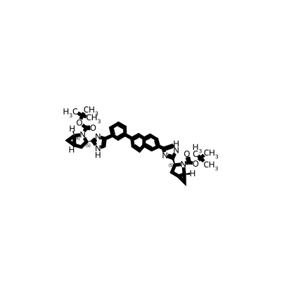 CC(C)(C)OC(=O)N1[C@@H]2CC2C[C@H]1c1nc(-c2ccc3cc(-c4cccc(-c5c[nH]c([C@@H]6C[C@H]7C[C@H]7N6C(=O)OC(C)(C)C)n5)c4)ccc3c2)c[nH]1